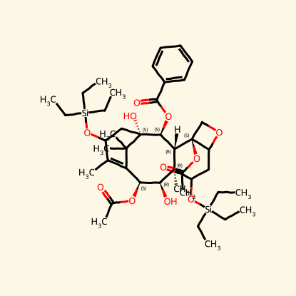 CC[Si](CC)(CC)OC1C[C@@]2(O)[C@@H](OC(=O)c3ccccc3)[C@H]3[C@@](C)(C(O[Si](CC)(CC)CC)CC4OC[C@]43OC(C)=O)[C@@H](O)[C@@H](OC(C)=O)C(=C1C)C2(C)C